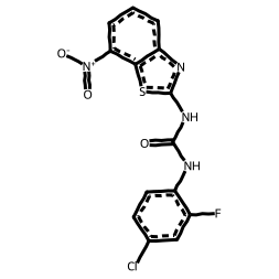 O=C(Nc1nc2cccc([N+](=O)[O-])c2s1)Nc1ccc(Cl)cc1F